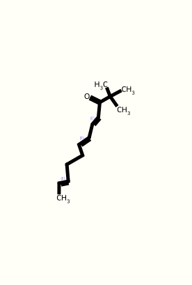 C/C=C/CC/C=C/C=C/C(=O)C(C)(C)C